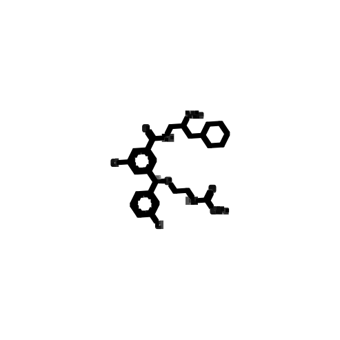 CNC(CNC(=O)c1cc(Cl)cc([C@@H](OCCNC(=O)OC)c2cccc(Cl)c2)c1)CC1CCCCC1